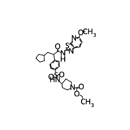 CCOC(=O)N1CCC(NS(=O)(=O)c2ccc(C(CC3CCCC3)C(=O)Nc3nc4ccc(OC)nc4s3)cc2)CC1